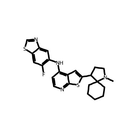 CN1CCC(c2cc3c(Nc4cc5ncsc5cc4F)ccnc3s2)C12CCCCC2